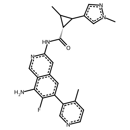 Cc1ccncc1-c1cc2cc(NC(=O)[C@@H]3C(C)C3c3cnn(C)c3)ncc2c(N)c1F